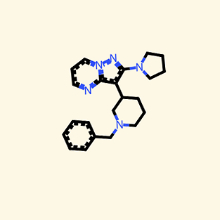 c1ccc(CN2CCCC(c3c(N4CCCC4)nn4cccnc34)C2)cc1